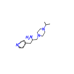 CC(C)N1CCN(CC(N)Cc2ccncc2)CC1